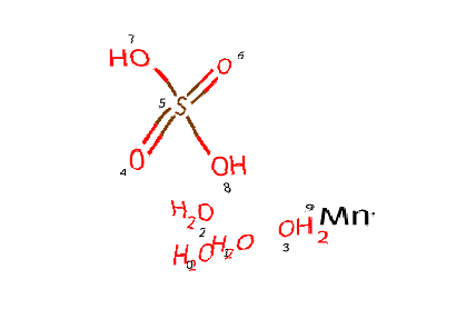 O.O.O.O.O=S(=O)(O)O.[Mn]